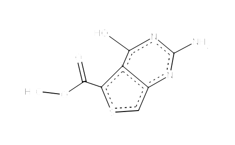 COC(=O)c1scc2nc(N)nc(O)c12